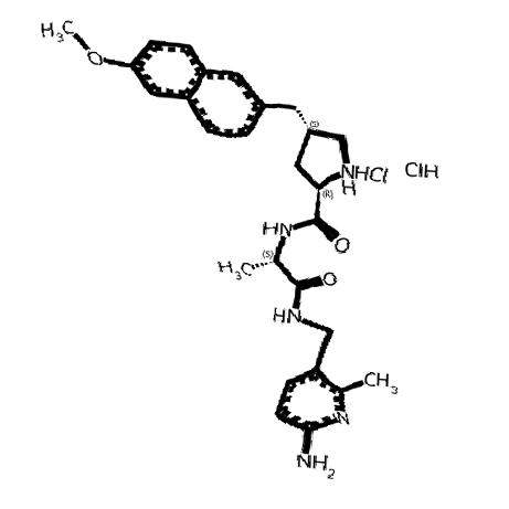 COc1ccc2cc(C[C@@H]3CN[C@@H](C(=O)N[C@@H](C)C(=O)NCc4ccc(N)nc4C)C3)ccc2c1.Cl.Cl